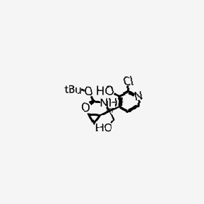 CC(C)(C)OC(=O)N[C@](CO)(c1ccnc(Cl)c1O)C1CC1